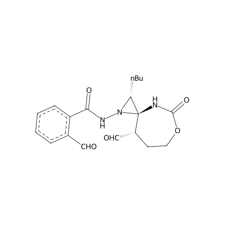 CCCC[C@H]1N(NC(=O)c2ccccc2C=O)[C@]12NC(=O)OCC[C@@H]2C=O